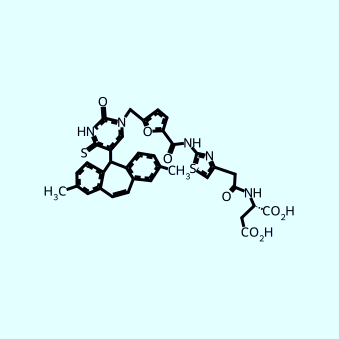 Cc1ccc2c(c1)C=Cc1cc(C)ccc1C2c1cn(Cc2ccc(C(=O)Nc3nc(CC(=O)N[C@@H](CC(=O)O)C(=O)O)cs3)o2)c(=O)[nH]c1=S